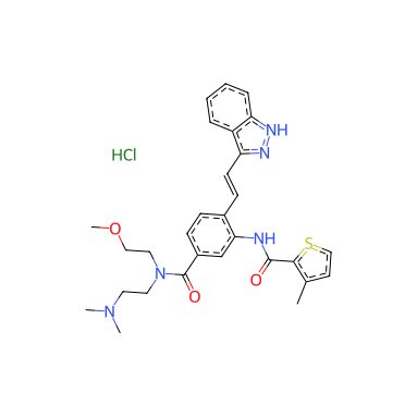 COCCN(CCN(C)C)C(=O)c1ccc(C=Cc2n[nH]c3ccccc23)c(NC(=O)c2sccc2C)c1.Cl